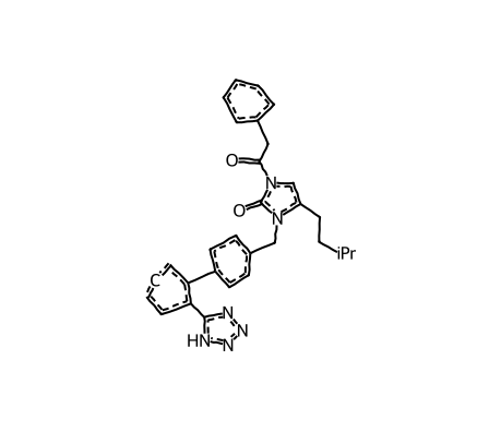 CC(C)CCc1cn(C(=O)Cc2ccccc2)c(=O)n1Cc1ccc(-c2ccccc2-c2nnn[nH]2)cc1